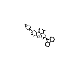 CC(C)C(CC(=O)n1c2ccccc2c2ccccc21)C(=O)NC(CC(=O)N1CCN(C)CC1)C(=O)CF